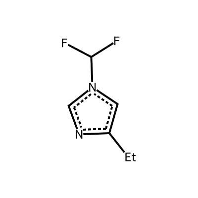 CCc1cn(C(F)F)cn1